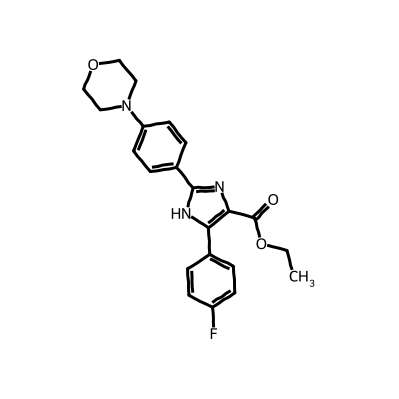 CCOC(=O)c1nc(-c2ccc(N3CCOCC3)cc2)[nH]c1-c1ccc(F)cc1